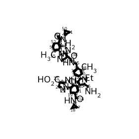 CCN1CCCC1CN.Cc1ccc(C(=O)NC2CC2)cc1-n1ncc(C(=O)O)c1N.Cc1ccccc1CNC(=O)c1cnn(-c2cc(C(=O)NC3CC3)ccc2C)c1N